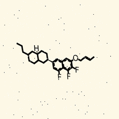 C/C=C/COc1cc2cc([C@@H]3CC[C@@H]4CC(CCC)CCC4C3)cc(F)c2c(F)c1F